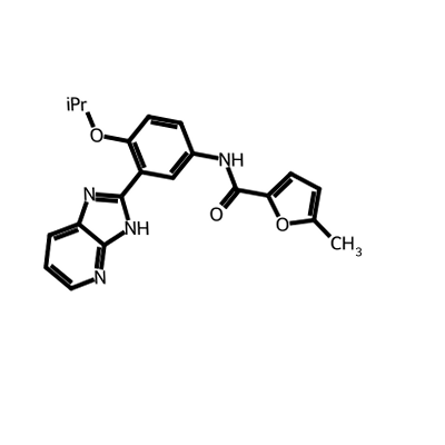 Cc1ccc(C(=O)Nc2ccc(OC(C)C)c(-c3nc4cccnc4[nH]3)c2)o1